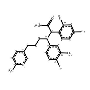 CNC(=O)C(c1ccc(F)cc1F)N(CCCc1ccc(C(F)(F)F)nc1)c1ccc(F)c(C)c1